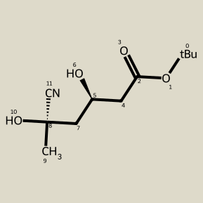 CC(C)(C)OC(=O)C[C@H](O)C[C@@](C)(O)C#N